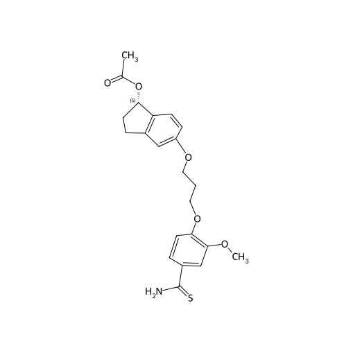 COc1cc(C(N)=S)ccc1OCCCOc1ccc2c(c1)CC[C@@H]2OC(C)=O